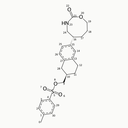 Cc1ccc(S(=O)(=O)OC[C@@H]2CCc3cc([C@H]4CCCOC(=O)NC4)ccc3C2)cc1